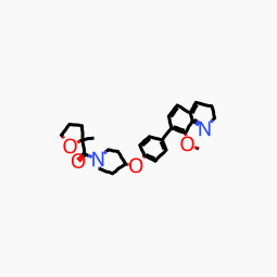 COc1c(-c2ccc(OC3CCN(C(=O)C4(C)CCCO4)CC3)cc2)ccc2c1=NCCC=2